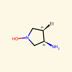 CC[C@@H]1CN(O)C[C@@H]1N